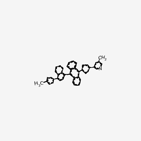 Cc1ccc(-c2ccc(-c3c4ccccc4c(-c4ccc(-c5cncc(C)c5)cc4)c4ccccc34)c3ccccc23)cc1